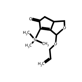 C=CCOC1OCC2CC(=O)C([Si](C)(C)C)=C21